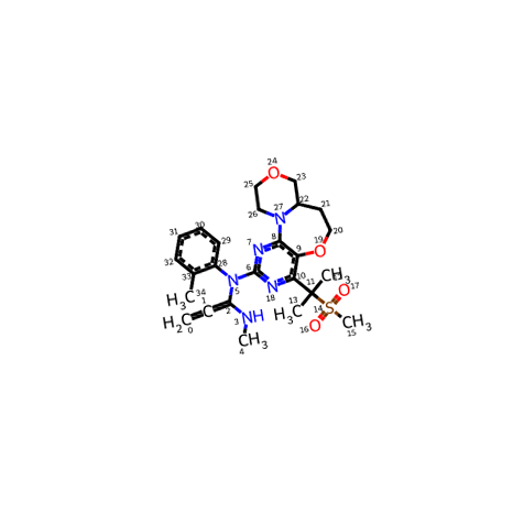 C=C=C(NC)N(c1nc2c(c(C(C)(C)S(C)(=O)=O)n1)OCCC1COCCN21)c1ccccc1C